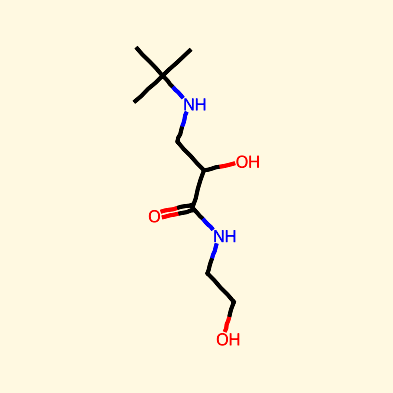 CC(C)(C)NCC(O)C(=O)NCCO